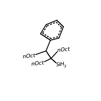 CCCCCCCCC(c1ccccc1)C([SiH3])(CCCCCCCC)CCCCCCCC